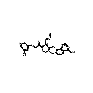 COC[C@H]1C(=O)N(Cc2ccc3c(N)ncnc3c2)CCN1C(=O)COc1cncc(Cl)n1